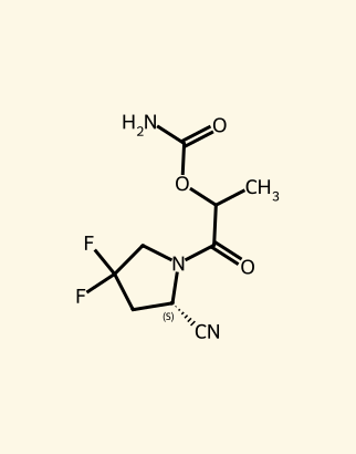 CC(OC(N)=O)C(=O)N1CC(F)(F)C[C@H]1C#N